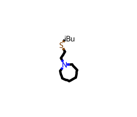 CCC(C)SCCN1CCCCCC1